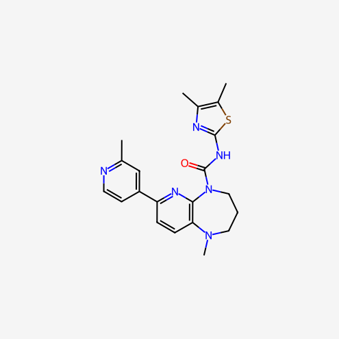 Cc1cc(-c2ccc3c(n2)N(C(=O)Nc2nc(C)c(C)s2)CCCN3C)ccn1